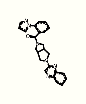 O=C(c1ccccc1-n1cccn1)N1CC2CN(c3cnc4ccccc4n3)CC2C1